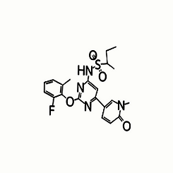 CCC(C)S(=O)(=O)Nc1cc(-c2ccc(=O)n(C)c2)nc(Oc2c(C)cccc2F)n1